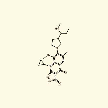 CC[C@H](NC)C1CCN(c2c(F)cc3c(=O)c4c(=O)[nH]sc4n(C4CC4)c3c2OC)C1